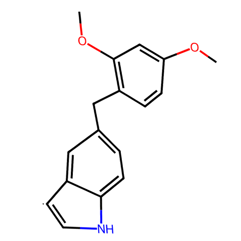 COc1ccc(Cc2ccc3[nH]c[c]c3c2)c(OC)c1